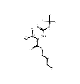 CCCCOC(=O)[C@@H](NC(=O)OC(C)(C)C)[C@H](C)O